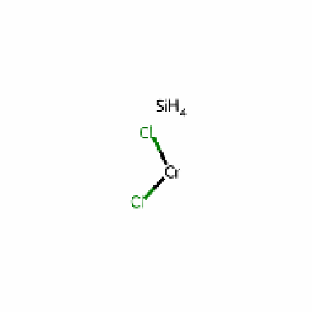 [Cl][Cr][Cl].[SiH4]